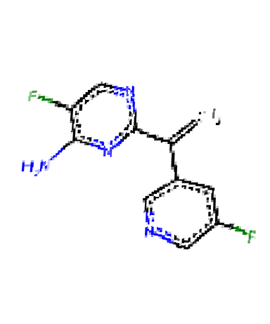 C=C(c1cncc(F)c1)c1ncc(F)c(N)n1